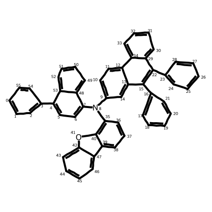 c1ccc(-c2ccc(N(c3ccc4c(c3)c(-c3ccccc3)c(-c3ccccc3)c3ccccc34)c3cccc4c3oc3ccccc34)c3ccccc23)cc1